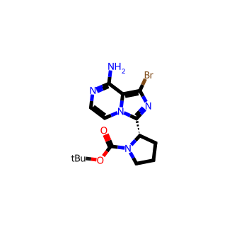 CC(C)(C)OC(=O)N1CCC[C@H]1c1nc(Br)c2c(N)nccn12